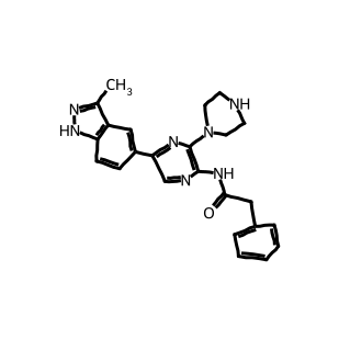 Cc1n[nH]c2ccc(-c3cnc(NC(=O)Cc4ccccc4)c(N4CCNCC4)n3)cc12